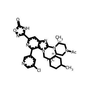 CC(=O)N1C[C@@H](C)N(c2nc3cc(-c4noc(=O)[nH]4)nc(-c4cncc(Cl)c4)c3n2CC2CCC(C)CC2)[C@H](C)C1